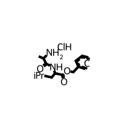 CC(C)CC(NC(=O)C(C)N)C(=O)OCc1ccccc1.Cl